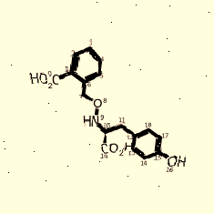 O=C(O)c1ccccc1CON[C@@H](Cc1ccc(O)cc1)C(=O)O